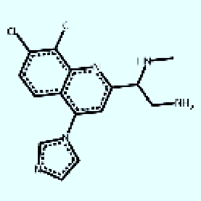 CNC(CN)c1cc(-n2ccnc2)c2ccc(Cl)c(Cl)c2n1